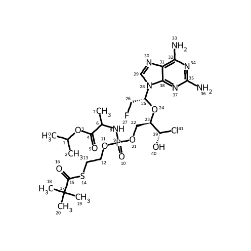 CC(C)OC(=O)C(C)NP(=O)(OCCSC(=O)C(C)(C)C)OC[C@@H](O[C@H](CF)n1cnc2c(N)nc(N)nc21)[C@@H](O)Cl